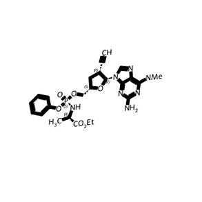 C#C[C@H]1C[C@@H](CO[P@@](=O)(N[C@H](C)C(=O)OCC)Oc2ccccc2)O[C@H]1n1cnc2c(NC)nc(N)nc21